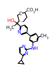 Cc1cc(Nc2nccc(C3CC3)n2)cc(-c2ccc([C@](C)(O)[C@H]3CC[C@H](C(=O)O)CC3)nc2)c1